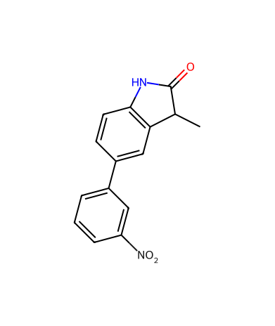 CC1C(=O)Nc2ccc(-c3cccc([N+](=O)[O-])c3)cc21